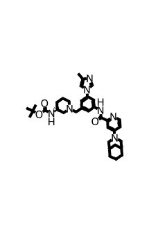 Cc1cn(-c2cc(CN3CCC[C@H](NC(=O)OC(C)(C)C)C3)cc(NC(=O)c3cc(N4CC5CCCC(C5)C4)ccn3)c2)cn1